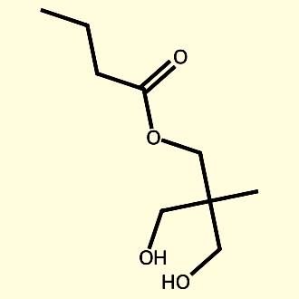 CCCC(=O)OCC(C)(CO)CO